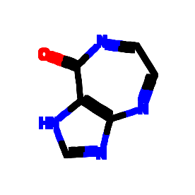 O=c1nccnc2nc[nH]c12